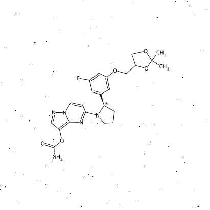 CC1(C)OCC(COc2cc(F)cc([C@H]3CCCN3c3ccn4ncc(OC(N)=O)c4n3)c2)O1